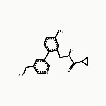 CCN(Cc1cc(C(F)(F)F)ccc1-c1cncc(COC(C)=O)c1)C(=O)C1CC1